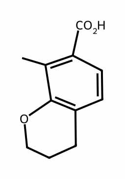 Cc1c(C(=O)O)ccc2c1OCCC2